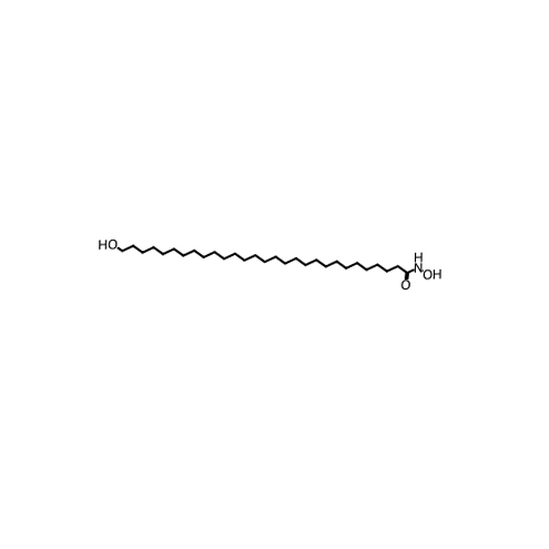 O=C(CCCCCCCCCCCCCCCCCCCCCCCCCCCCO)NO